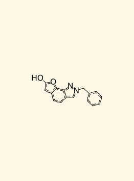 Oc1cc2ccc3cn(Cc4ccccc4)nc3c2o1